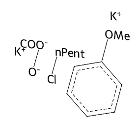 CCCCCCl.COc1ccccc1.O=C([O-])[O-].[K+].[K+]